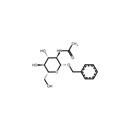 CC(=O)N[C@H]1[C@H](OCc2ccccc2)O[C@H](CO)[C@@H](O)[C@@H]1O